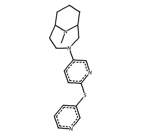 CN1C2CCCC1CN(c1ccc(Sc3cccnc3)nc1)CC2